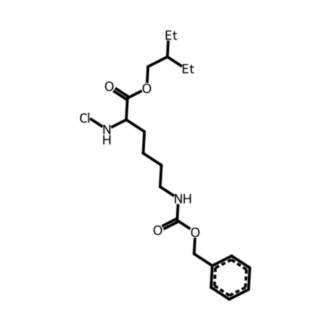 CCC(CC)COC(=O)C(CCCCNC(=O)OCc1ccccc1)NCl